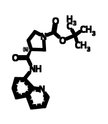 CC(C)(C)OC(=O)N1CC[C@H](C(=O)Nc2cccc3cccnc23)C1